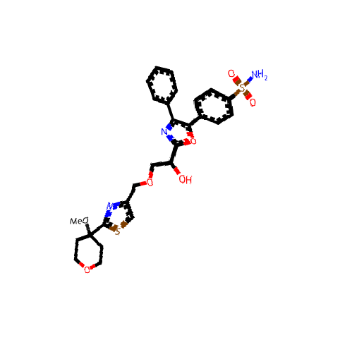 COC1(c2nc(COCC(O)c3nc(-c4ccccc4)c(-c4ccc(S(N)(=O)=O)cc4)o3)cs2)CCOCC1